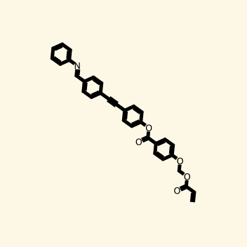 C=CC(=O)OCOc1ccc(C(=O)Oc2ccc(C#Cc3ccc(/C=N/c4ccccc4)cc3)cc2)cc1